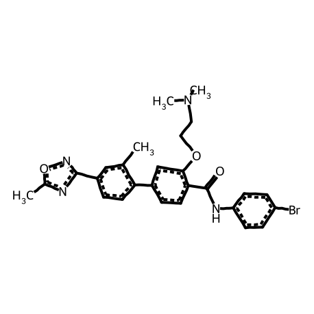 Cc1nc(-c2ccc(-c3ccc(C(=O)Nc4ccc(Br)cc4)c(OCCN(C)C)c3)c(C)c2)no1